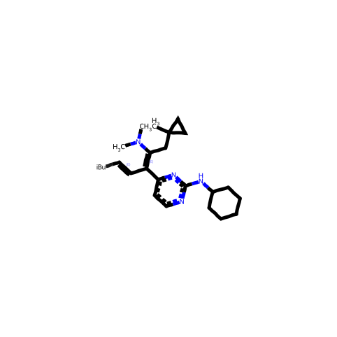 CCC(C)/C=C/C(=C(/CC1(C)CC1)N(C)C)c1ccnc(NC2CCCCC2)n1